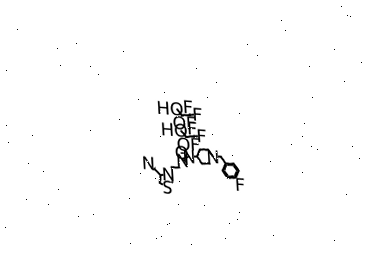 N#CC1CSCN1CCn1on1C1CCN(Cc2ccc(F)cc2)CC1.O=C(O)C(F)(F)F.O=C(O)C(F)(F)F